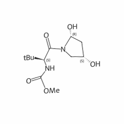 COC(=O)N[C@H](C(=O)N1C[C@@H](O)C[C@H]1O)C(C)(C)C